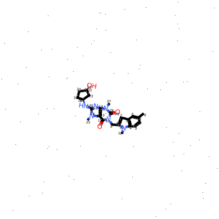 Cc1ccc2c(c1)cc(Cn1c(=O)c3c(nc(N[C@H]4CC[C@@H](O)C4)n3C)n(C)c1=O)n2C